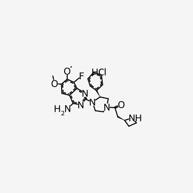 COc1cc2c(N)nc(N3CCN(C(=O)C[C@@H]4CCN4)C[C@@H]3c3ccccc3)nc2c(F)c1OC.Cl